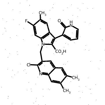 Cc1cc2cc(Cn3c(C(=O)O)c(-c4ccc[nH]c4=O)c4cc(C)c(F)cc43)c(Cl)nc2cc1C